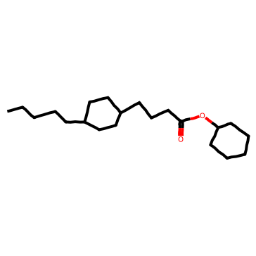 CCCCCC1CCC(CCCC(=O)OC2CCCCC2)CC1